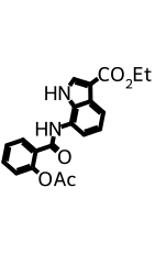 CCOC(=O)c1c[nH]c2c(NC(=O)c3ccccc3OC(C)=O)cccc12